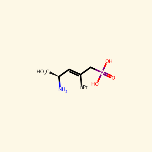 CCC/C(=C\[C@@H](N)C(=O)O)CP(=O)(O)O